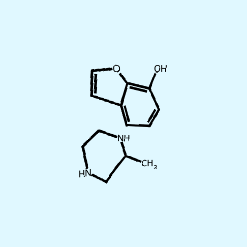 CC1CNCCN1.Oc1cccc2ccoc12